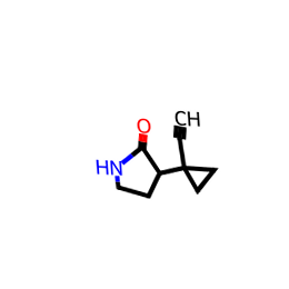 C#CC1(C2CCNC2=O)CC1